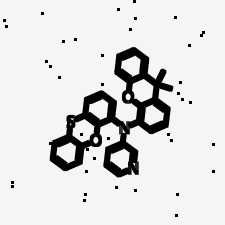 CC1(C)c2ccccc2Oc2c(N(c3cccnc3)c3cccc4c3Oc3ccccc3S4)cccc21